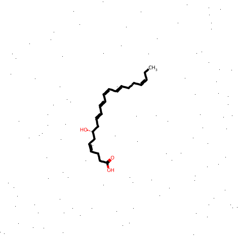 CC/C=C\CC/C=C/C=C\C=C\C=C\C[C@@H](O)C/C=C\CCC(=O)O